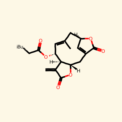 C=C1C(=O)O[C@H]2CC3=C[C@@H](C/C(C)=C/[C@@H](OC(=O)CC(C)CC)[C@H]12)OC3=O